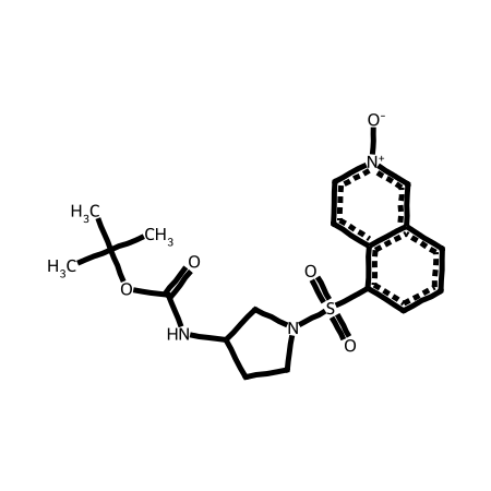 CC(C)(C)OC(=O)NC1CCN(S(=O)(=O)c2cccc3c[n+]([O-])ccc23)C1